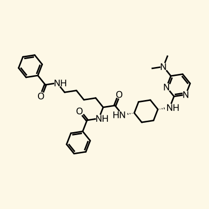 CN(C)c1ccnc(N[C@H]2CC[C@@H](NC(=O)C(CCCCNC(=O)c3ccccc3)NC(=O)c3ccccc3)CC2)n1